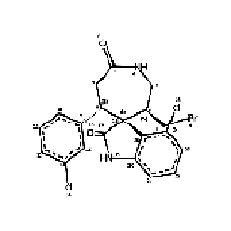 CC(C)C[C@@H]1CNC(=O)C[C@@H](c2cccc(Cl)c2)[C@@]12C(=O)Nc1cccc(Cl)c12